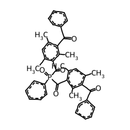 Cc1cc(C)c(C(=O)P(=O)(C(=O)c2c(C)cc(C)c(C(=O)c3ccccc3)c2C)c2ccccc2)c(C)c1C(=O)c1ccccc1